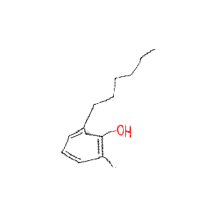 [CH2]c1cccc(CCCCCC)c1O